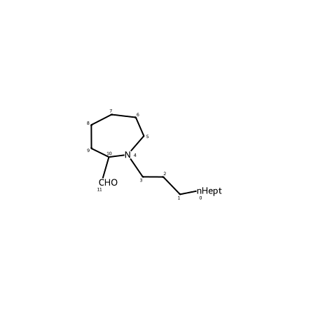 CCCCCCCCCCN1CCCCCC1C=O